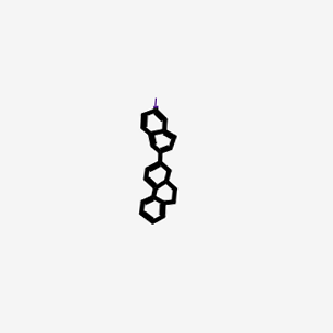 Ic1ccc2cc(C3=CC=C4c5ccccc5CCC4C3)ccc2c1